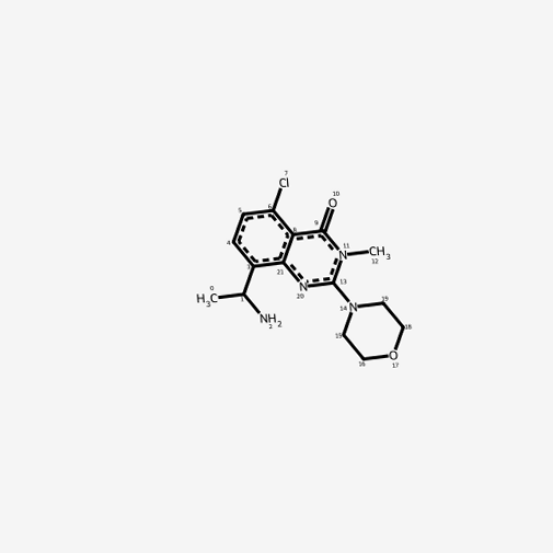 CC(N)c1ccc(Cl)c2c(=O)n(C)c(N3CCOCC3)nc12